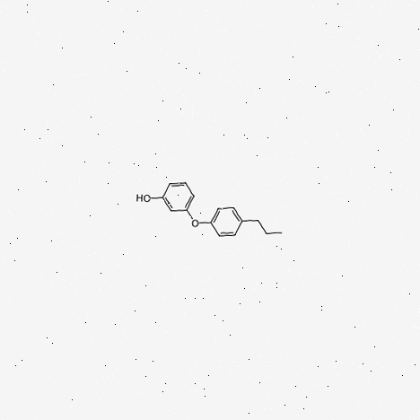 CCCc1ccc(Oc2cccc(O)c2)cc1